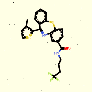 Cc1ccsc1C1=Nc2cc(C(=O)NCCCC(F)(F)F)ccc2Sc2ccccc21